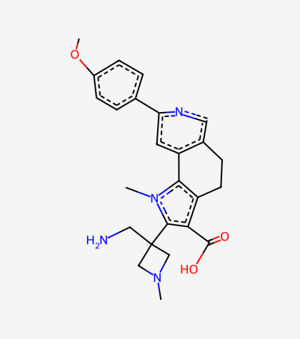 COc1ccc(-c2cc3c(cn2)CCc2c(C(=O)O)c(C4(CN)CN(C)C4)n(C)c2-3)cc1